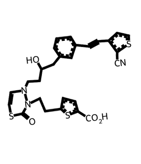 N#Cc1sccc1C#Cc1cccc(CC(O)CCN2C=CSC(=O)N2CCc2ccc(C(=O)O)s2)c1